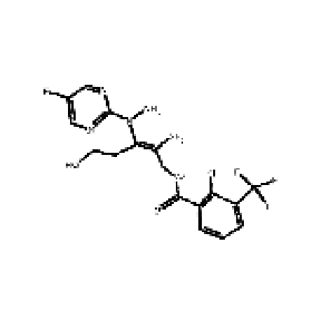 N/C(CNC(=O)c1cccc(C(F)(F)F)c1Cl)=C(/CCO)N(N)c1ncc(F)cn1